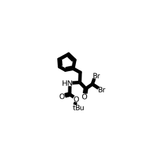 CC(C)(C)OC(=O)NC(Cc1ccccc1)C(=O)C(Br)Br